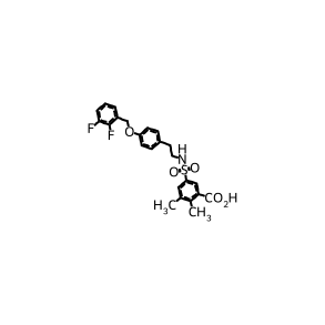 Cc1cc(S(=O)(=O)NCCc2ccc(OCc3cccc(F)c3F)cc2)cc(C(=O)O)c1C